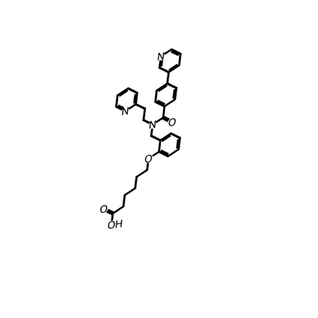 O=C(O)CCCCCOc1ccccc1CN(CCc1ccccn1)C(=O)c1ccc(-c2cccnc2)cc1